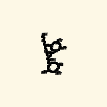 CCCN1CCN(CC)CCCN(CC(O)CN(CCOCCOCCOCCO)CC(O)CN2CCN(CCC)CCN(CCC)CCN(CCC)CC2)CCN(CCC)CC1